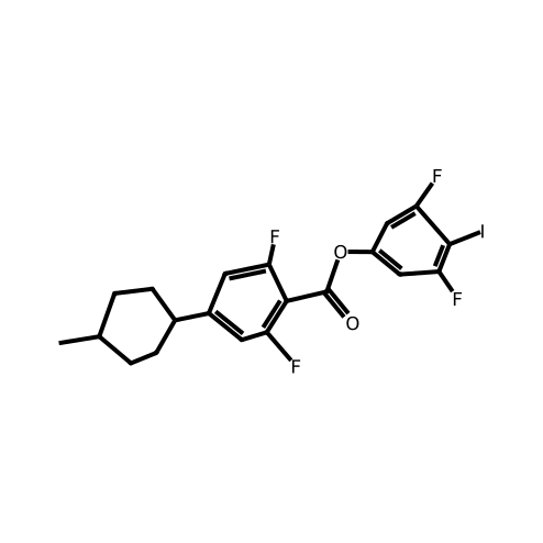 CC1CCC(c2cc(F)c(C(=O)Oc3cc(F)c(I)c(F)c3)c(F)c2)CC1